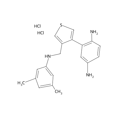 Cc1cc(C)cc(NCc2cscc2-c2cc(N)ccc2N)c1.Cl.Cl